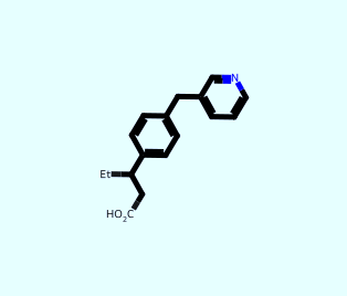 CCC(CC(=O)O)c1ccc(Cc2cccnc2)cc1